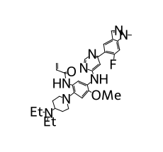 C=CC(=O)Nc1cc(Nc2cc(-c3cc4cnn(C)c4cc3F)ncn2)c(OC)cc1N1CCC(N(CC)CC)CC1